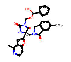 COc1ccc2c(c1)C(=O)N(C[C@@]1(c3cc4c(C)nccc4o3)NC(=O)N(COC(O)c3ccccc3)C1=O)C2